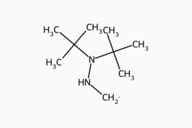 [CH2]NN(C(C)(C)C)C(C)(C)C